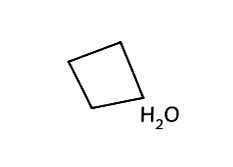 C1CCC1.O